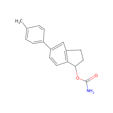 Cc1ccc(-c2ccc3c(c2)CCC3OC(N)=O)cc1